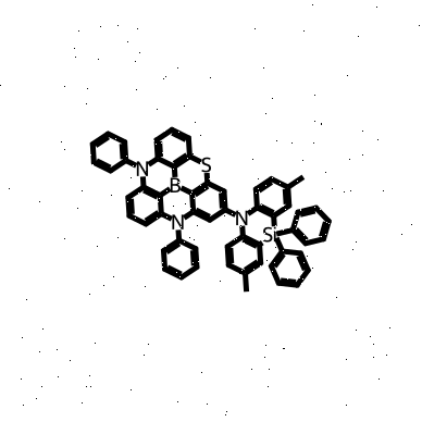 Cc1ccc2c(c1)[Si](c1ccccc1)(c1ccccc1)c1cc(C)ccc1N2c1cc2c3c(c1)N(c1ccccc1)c1cccc4c1B3c1c(cccc1N4c1ccccc1)S2